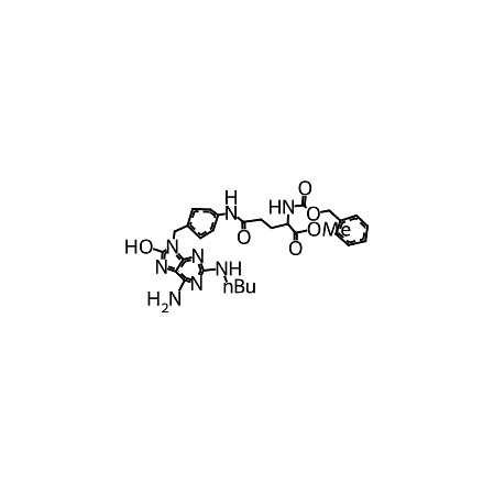 CCCCNc1nc(N)c2nc(O)n(Cc3ccc(NC(=O)CCC(NC(=O)OCc4ccccc4)C(=O)OC)cc3)c2n1